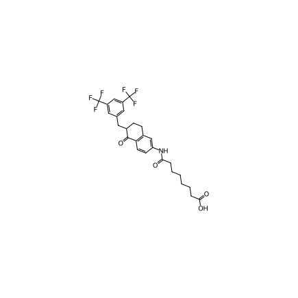 O=C(O)CCCCCCC(=O)Nc1ccc2c(c1)CCC(Cc1cc(C(F)(F)F)cc(C(F)(F)F)c1)C2=O